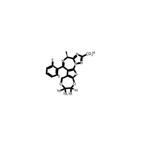 [2H]C1([2H])OCc2c(sc3c2C(c2c(F)cccc2F)=N[C@@H](C)c2nc(C(=O)O)nn2-3)OC1([2H])[2H]